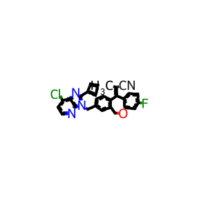 C/C(C#N)=C1\c2ccc(Cn3c(C4=CC=C4)nc4c(Cl)ccnc43)cc2COc2cc(F)ccc21